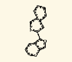 [c]1nc(-c2occ3ccccc23)cc2ccccc12